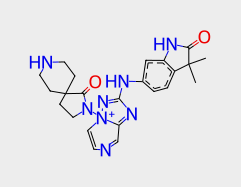 CC1(C)C(=O)Nc2cc(NC3=N[N+]4(N5CCC6(CCNCC6)C5=O)C=CN=CC4=N3)ccc21